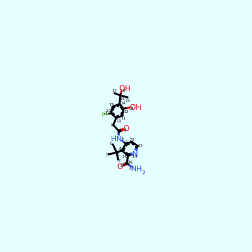 CC(C)(C)c1c(NC(=O)Cc2cc(O)c(C(C)(C)O)cc2F)ccnc1C(N)=O